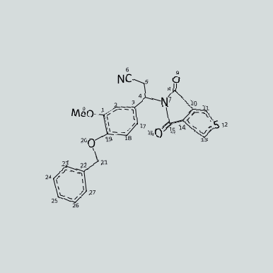 COc1cc(C(CC#N)N2C(=O)c3cscc3C2=O)ccc1OCc1ccccc1